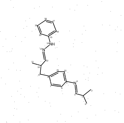 CC(C)/C=N/c1ccc(CC(C)/C=N/Nc2ccccc2)cc1